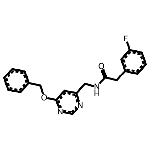 O=C(Cc1cccc(F)c1)NCc1cc(OCc2ccccc2)ncn1